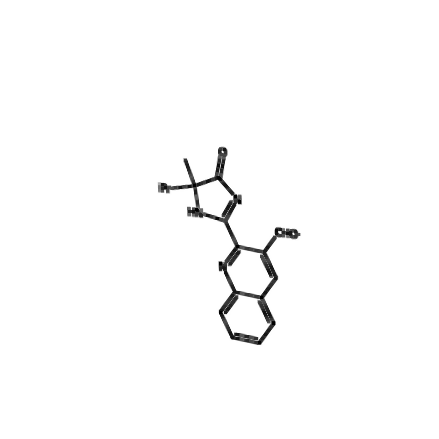 CC(C)C1(C)NC(c2nc3ccccc3cc2[C]=O)=NC1=O